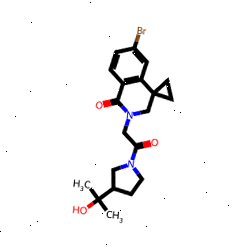 CC(C)(O)C1CCN(C(=O)CN2CC3(CC3)c3cc(Br)ccc3C2=O)C1